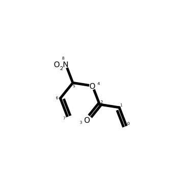 C=CC(=O)OC(C=C)[N+](=O)[O-]